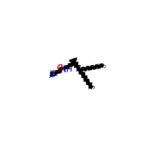 CCCCCCCCCCC(=CCCCC1(CCCCNC(=O)CCCN(C)C)CC1)CCCCCCCCCC